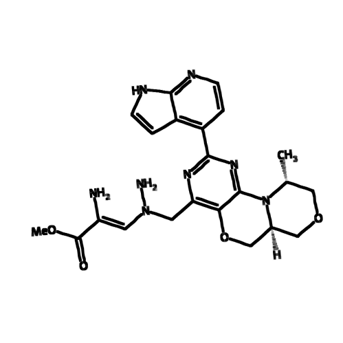 COC(=O)/C(N)=C/N(N)Cc1nc(-c2ccnc3[nH]ccc23)nc2c1OC[C@@H]1COC[C@@H](C)N21